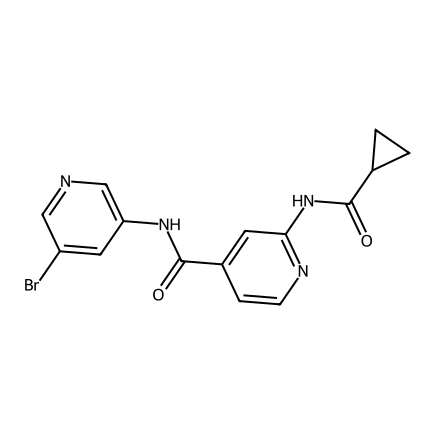 O=C(Nc1cncc(Br)c1)c1ccnc(NC(=O)C2CC2)c1